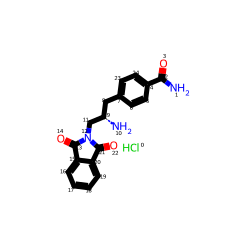 Cl.NC(=O)c1ccc(C[C@H](N)CN2C(=O)c3ccccc3C2=O)cc1